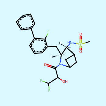 CS(=O)(=O)N[C@H]1C2CC(C2)N(C(=O)C(O)C(F)F)[C@H]1Cc1cccc(-c2ccccc2)c1F